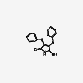 O=C1NC(O)C(Sc2ccccc2)=C1Sc1ccccc1